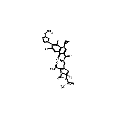 C[C@@H](O)[C@@H]1C(=O)N2C(C(=O)O)=C(CNC(=O)c3cn(C4CC4)c4c(F)c(N5CCC(CN)C5)c(F)cc4c3=O)S[C@H]12